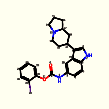 O=C(Nc1ccc2[nH]cc(C3CCN4CCCC4C3)c2c1)Oc1ccccc1I